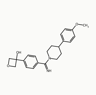 COc1ccc(C2CCN(C(=N)c3ccc(C4(O)COC4)cc3)CC2)cc1